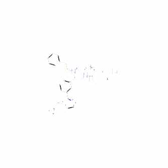 CC(C)(C)[Si](C)(C)O[C@H]1CCN(C[C@H](c2cccc(-c3nccn3CC3CC3)c2)N(CCc2ccccc2)C(=O)O)C1